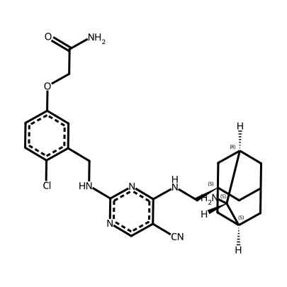 N#Cc1cnc(NCc2cc(OCC(N)=O)ccc2Cl)nc1NC[C@]12CC3C[C@H](C1)[C@@H](N)[C@@H](C3)C2